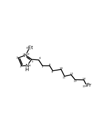 CC[n+]1cc[nH]c1CCCCCCCCCC(C)C